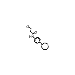 O=C(CCCl)Nc1ccc(N2CCCCCC2)cc1